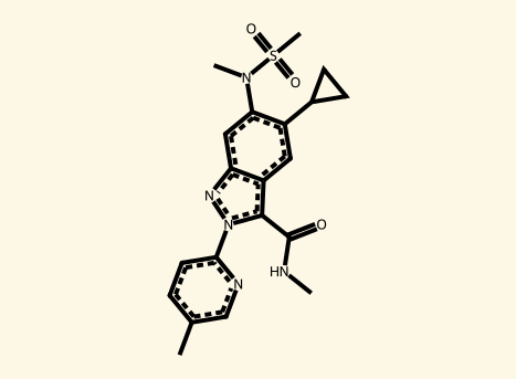 CNC(=O)c1c2cc(C3CC3)c(N(C)S(C)(=O)=O)cc2nn1-c1ccc(C)cn1